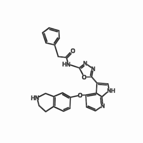 O=C(Cc1ccccc1)Nc1nnc(-c2c[nH]c3nccc(Oc4ccc5c(c4)CNCC5)c23)o1